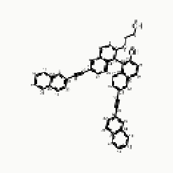 OCCOc1ccc2cc(C#Cc3ccc4ccccc4c3)ccc2c1-c1c(O)ccc2cc(C#Cc3ccc4ccccc4c3)ccc12